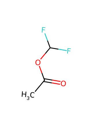 CC(=O)OC(F)F